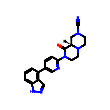 N#CN1CCN2CCN(c3ccc(-c4cccc5[nH]ncc45)cn3)C(=O)[C@H]2C1